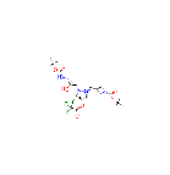 CC(C)(C)OC(=O)NC[C@H](O)Cn1ccc[n+]1CC1CN(C(=O)OC(C)(C)C)C1.O=C([O-])C(F)(F)F